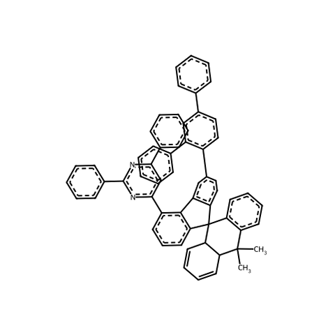 CC1(C)c2ccccc2C2(c3ccc(-c4ccc(-c5ccccc5)cc4-c4ccccc4)cc3-c3c(-c4cc(-c5ccccc5)nc(-c5ccccc5)n4)cccc32)C2C=CC=CC21